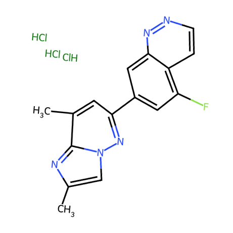 Cc1cn2nc(-c3cc(F)c4ccnnc4c3)cc(C)c2n1.Cl.Cl.Cl